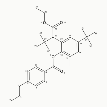 CCCc1ccc(C(=O)Oc2c(C)cc(C(C)(C)C)cc2C(C(=O)OCC)C(C)(C)C)cc1